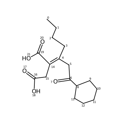 CCCCC(CC(=O)C1CCCCC1)=C(CC(=O)O)C(=O)O